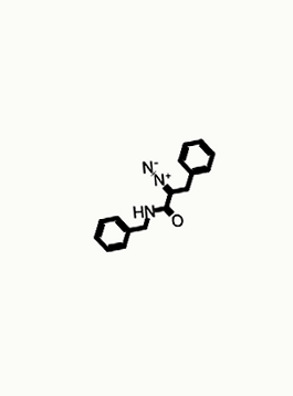 [N-]=[N+]=C(Cc1ccccc1)C(=O)NCc1ccccc1